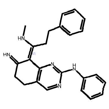 CN/C(CCc1ccccc1)=C1\C(=N)CCc2cnc(Nc3ccccc3)nc21